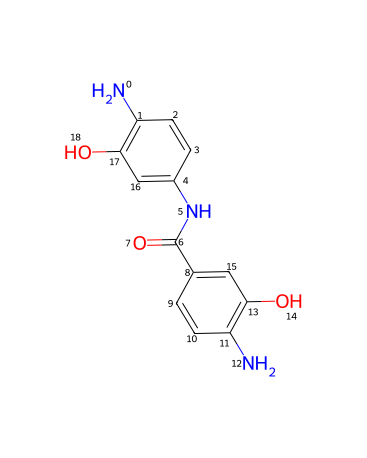 Nc1ccc(NC(=O)c2ccc(N)c(O)c2)cc1O